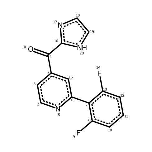 O=C(c1ccnc(-c2c(F)cccc2F)c1)c1ncc[nH]1